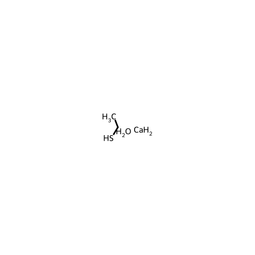 CCS.O.[CaH2]